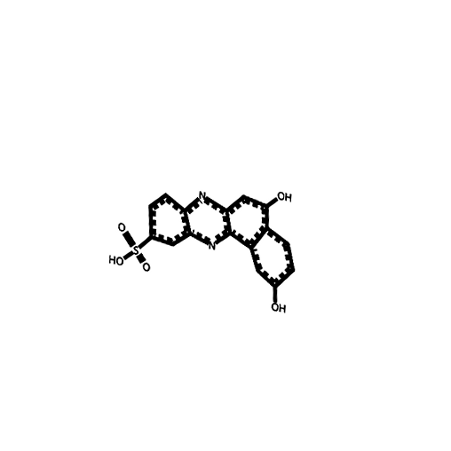 O=S(=O)(O)c1ccc2nc3cc(O)c4ccc(O)cc4c3nc2c1